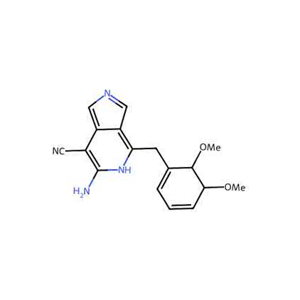 COC1C=CC=C(Cc2[nH]c(N)c(C#N)c3cncc2-3)C1OC